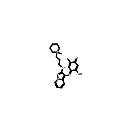 C[N+]1(CCCNc2nn3ccccc3c2/N=C2\C=C(Cl)C(=O)C=C2O)CCCCC1